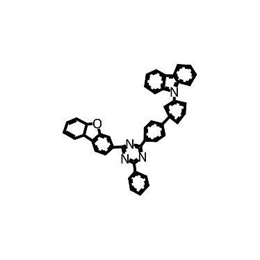 C1=CC2Oc3cc(-c4nc(-c5ccccc5)nc(-c5ccc(-c6cccc(-n7c8ccccc8c8ccccc87)c6)cc5)n4)ccc3C2C=C1